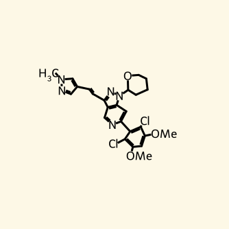 COc1cc(OC)c(Cl)c(-c2cc3c(cn2)c(C=Cc2cnn(C)c2)nn3C2CCCCO2)c1Cl